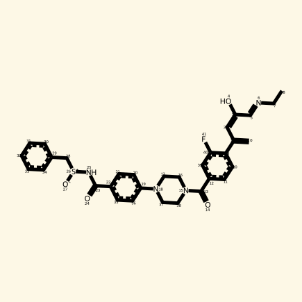 C=C(/C=C(O)\C=N\CC)c1ccc(C(=O)N2CCN(c3ccc(C(=O)N[S+]([O-])Cc4ccccc4)cc3)CC2)cc1F